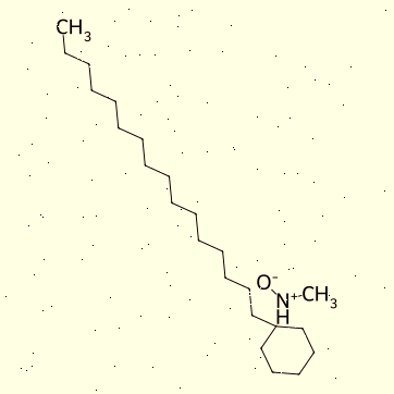 CCCCCCCCCCCCCCCCC1([NH+](C)[O-])CCCCC1